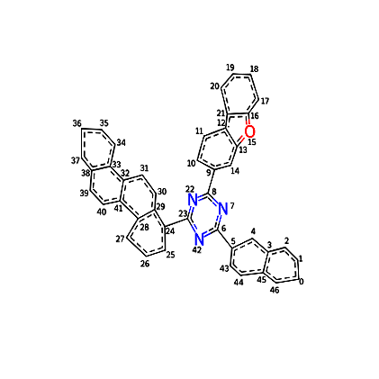 c1ccc2cc(-c3nc(-c4ccc5c(c4)oc4ccccc45)nc(-c4cccc5c4ccc4c6ccccc6ccc54)n3)ccc2c1